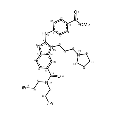 COC(=O)c1ccc(Nc2nc3ccc(C(=O)N(CCC(C)C)CCC(C)C)cc3n2CCCN2CCCC2)cc1